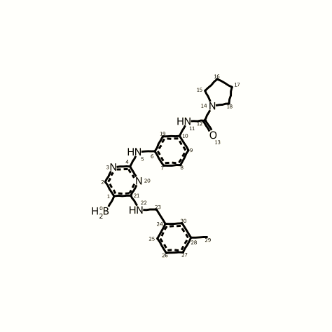 Bc1cnc(Nc2cccc(NC(=O)N3CCCC3)c2)nc1NCc1cccc(C)c1